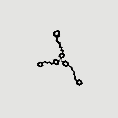 C(=C\C=C\c1ccc(N(c2ccc(/C=C/C=C/C=C/c3ccccc3)cc2)c2ccc(/C=C/C=C/c3ccccc3)cc2)cc1)/C=C/c1ccccc1